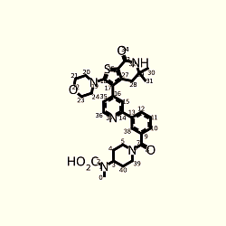 CN(C(=O)O)C1CCN(C(=O)c2cccc(-c3cc(-c4c(N5CCOCC5)sc5c4CC(C)(C)NC5=O)ccn3)c2)CC1